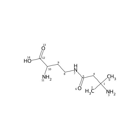 CC(C)(N)CC(=O)NCCC(N)C(=O)O